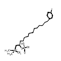 C[N+](C)(C)CC(CCCCCCCCCCCCc1ccc(I)cc1)OP(=O)(O)O